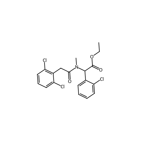 CCOC(=O)C(c1ccccc1Cl)N(C)C(=O)Cc1c(Cl)cccc1Cl